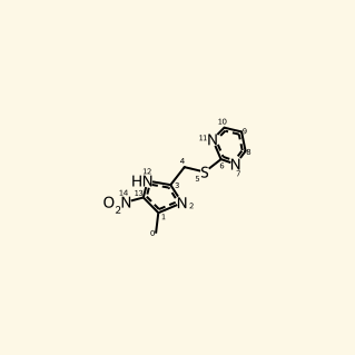 Cc1nc(CSc2ncccn2)[nH]c1[N+](=O)[O-]